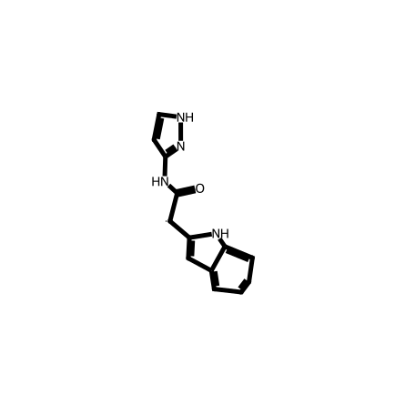 O=C([CH]c1cc2ccccc2[nH]1)Nc1cc[nH]n1